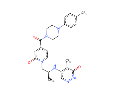 C[C@@H](Cn1ccc(C(=O)N2CCN(c3ccc(C(F)(F)F)cc3)CC2)cc1=O)Nc1cn[nH]c(=O)c1C(F)(F)F